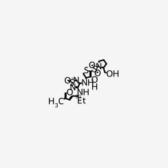 CC[C@@H](Nc1n[s+]([O-])nc1NC1CSC(S(=O)(=O)N2CCCC2CO)=C1O)c1cc(C)co1